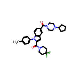 Cc1ccc(-n2c(C(=O)N3CCC(F)(F)CC3)cc3cc(C(=O)N4CCN(C5CCCC5)CC4)ccc32)cc1